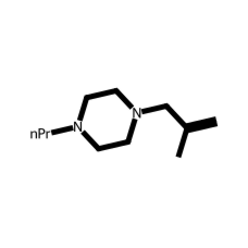 C=C(C)CN1CCN(CCC)CC1